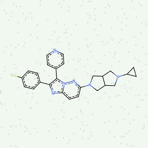 Fc1ccc(-c2nc3ccc(N4CC5CN(C6CC6)CC5C4)nn3c2-c2ccncc2)cc1